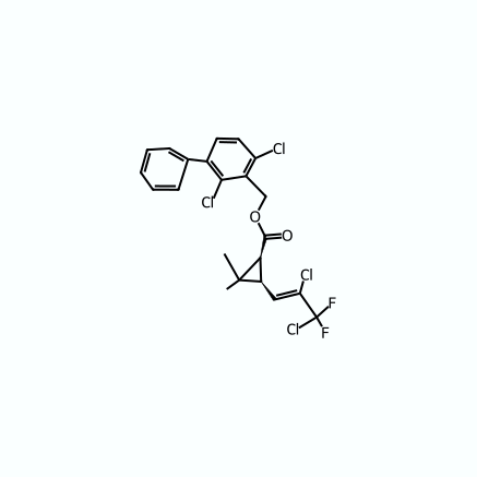 CC1(C)[C@H](C=C(Cl)C(F)(F)Cl)[C@@H]1C(=O)OCc1c(Cl)ccc(-c2ccccc2)c1Cl